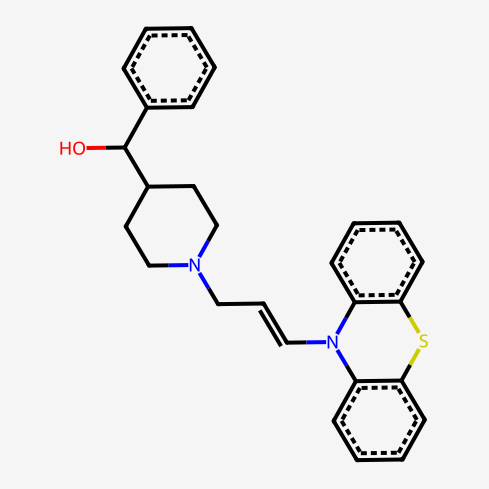 OC(c1ccccc1)C1CCN(CC=CN2c3ccccc3Sc3ccccc32)CC1